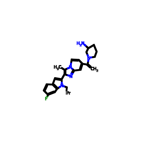 C=C(c1ccn2c(C)c(-c3cc4ccc(F)cc4n3CC(C)C)nc2c1)N1CCCC(N)C1